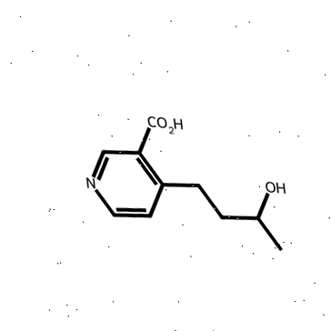 CC(O)CCc1ccncc1C(=O)O